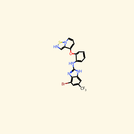 FC(F)(F)c1cc(Br)c2nc(Nc3ccccc3OC3=CC=CN4SNC=C34)[nH]c2c1